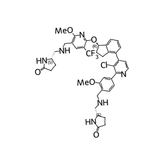 COc1cc(-c2nccc(-c3cccc4c3CC[C@H]4Oc3nc(OC)c(CNC[C@@H]4CCC(=O)N4)cc3C(F)(F)F)c2Cl)ccc1CNC[C@@H]1CCC(=O)N1